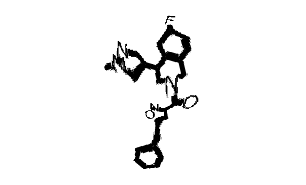 Cn1cc(C2CN(C(=O)c3cc(-c4ccccc4)on3)Cc3ccc(F)cc32)cn1